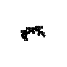 N#Cc1ccc2[nH]cc(C[C@H](O)C(=O)N[C@@H](CCC(=O)C=[N+]=[N-])C(=O)O)c2c1